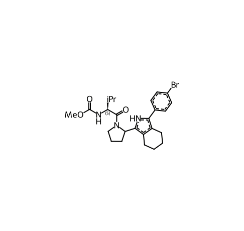 COC(=O)N[C@H](C(=O)N1CCCC1c1[nH]c(-c2ccc(Br)cc2)c2c1CCCC2)C(C)C